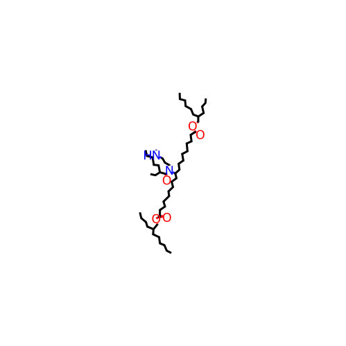 CCCCCCC(CCCC)COC(=O)CCCCCCCCC(CCCCCCCCC(=O)OCC(CCCC)CCCCCC)N(CCCNC)C(=O)C(CC)CCCCC